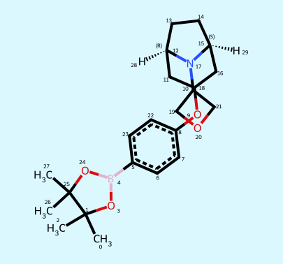 CC1(C)OB(c2ccc(OC3C[C@H]4CC[C@@H](C3)N4C3COC3)cc2)OC1(C)C